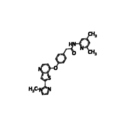 Cc1cc(C)nc(NC(=O)Cc2ccc(Oc3ccnc4cc(-c5nccn5C)sc34)cc2)c1